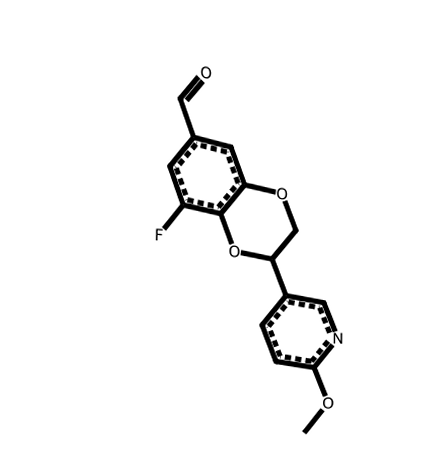 COc1ccc(C2COc3cc(C=O)cc(F)c3O2)cn1